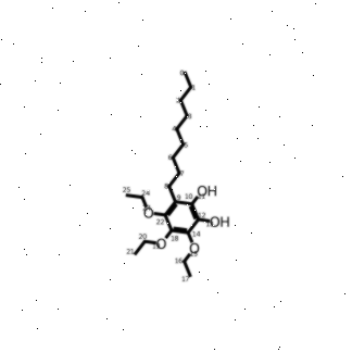 CCCCCCCCCc1c(O)c(O)c(OCC)c(OCC)c1OCC